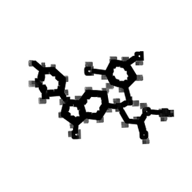 Cc1ccc(-n2cc(Cl)c3cc(N(CC(=O)OC(C)(C)C)Sc4cc(Cl)cc(Cl)c4)ccc32)nn1